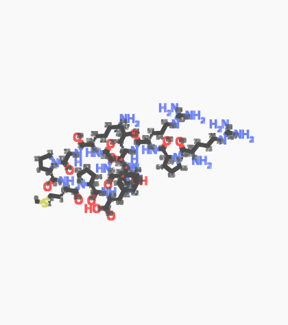 CSCC[C@H](NC(=O)[C@@H]1CCCN1C(=O)CNC(=O)[C@H](CCCCN)NC(=O)[C@H](Cc1c[nH]cn1)NC(=O)[C@H](CO)NC(=O)[C@H](CC(C)C)NC(=O)[C@H](CCCN=C(N)N)NC(=O)[C@@H]1CCCN1C(=O)[C@@H](N)CCCN=C(N)N)C(=O)N1CCC[C@H]1C(=O)N[C@@H](Cc1ccccc1)C(=O)O